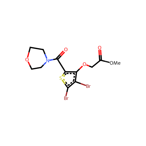 COC(=O)COc1c(C(=O)N2CCOCC2)sc(Br)c1Br